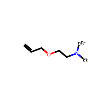 C=CCOCCN(CC)CCC